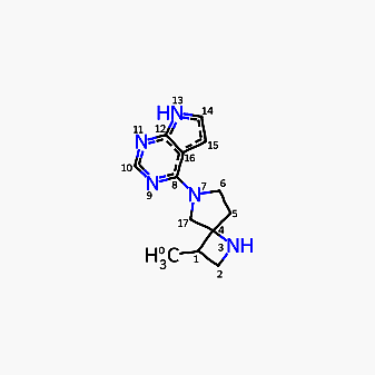 CC1CNC12CCN(c1ncnc3[nH]ccc13)C2